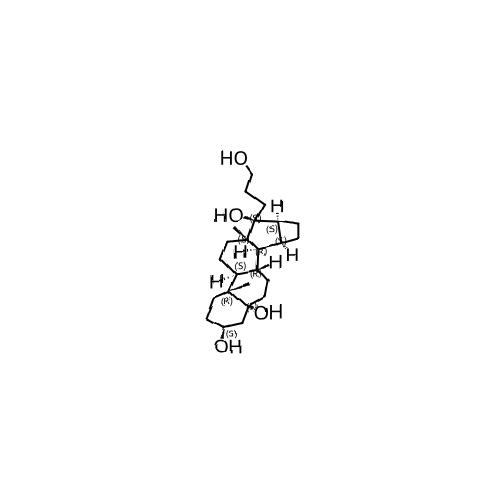 C[C@]12CC[C@H]3[C@@H](CC[C@]4(O)C[C@@H](O)CC[C@]34C)[C@@H]1[C@@H]1CC[C@@H]1[C@@]2(O)CCCO